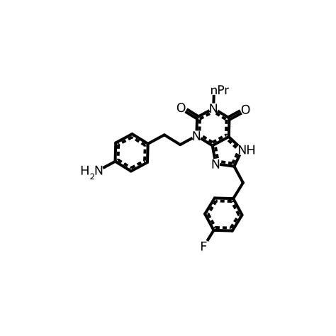 CCCn1c(=O)c2[nH]c(Cc3ccc(F)cc3)nc2n(CCc2ccc(N)cc2)c1=O